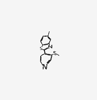 CSc1cnccc1-c1nc2cc(C)ccc2s1